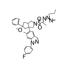 C=NN(CCC)/N=C(\C)S(=O)(=O)N1CC2CC(OC)(c3ccccc3)CC2(c2cc3cnn(-c4ccc(F)cc4)c3cc2C)C1